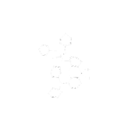 CC1(C)c2cccc(OP(=O)(Oc3ccccc3)Oc3ccccc3)c2Oc2c(P(c3ccccc3)c3ccccc3)cccc21